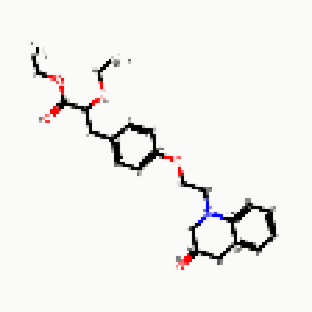 CCOC(=O)C(Cc1ccc(OCCN2CC(=O)Cc3ccccc32)cc1)OCC